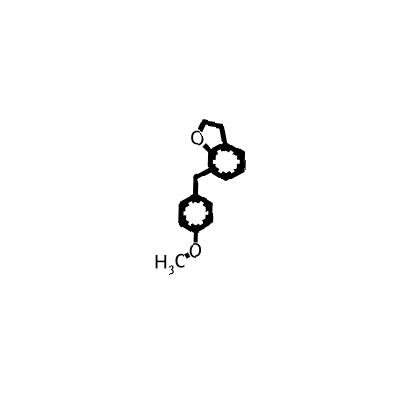 COc1ccc(Cc2cccc3c2OCC3)cc1